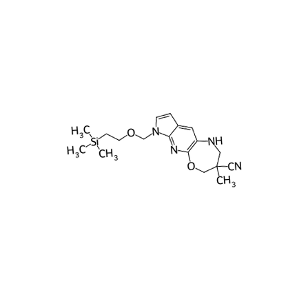 CC1(C#N)CNc2cc3ccn(COCC[Si](C)(C)C)c3nc2OC1